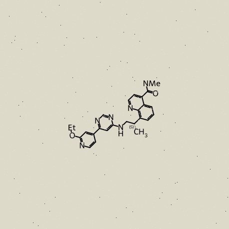 CCOc1cc(-c2cc(NC[C@@H](C)c3cccc4c(C(=O)NC)ccnc34)ncn2)ccn1